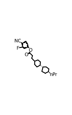 CCC[C@H]1CC[C@H](C2CCC(CCC(=O)Oc3ccc(C#N)c(F)c3)CC2)CC1